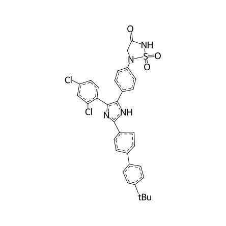 CC(C)(C)c1ccc(-c2ccc(-c3nc(-c4ccc(Cl)cc4Cl)c(-c4ccc(N5CC(=O)NS5(=O)=O)cc4)[nH]3)cc2)cc1